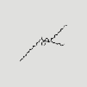 CCCCCCCCCCCCCCC(C)C(=O)OCC(CCCCCC)CCCCCCCCCC